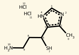 Cc1nc[nH]c1C(S)CCN.Cl.Cl